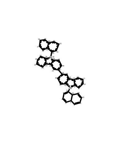 C1=CC2C=CC=C(n3c4ccccc4c4cc(-c5ccc6c(c5)c5ccccc5n6-c5cccc6ccccc56)ccc43)C2C=C1